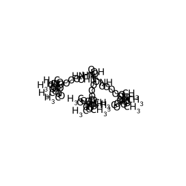 CC(=O)N[C@H]1[C@H](OCCOCCOCCOCC(=O)NCCCC[C@H](NC(=O)[C@H](CCCCNC(=O)COCCOCCOCCO[C@@H]2O[C@H](COC(C)=O)[C@H](OC(C)=O)[C@H](OC(C)=O)[C@H]2NC(C)=O)NC(=O)COCCOCCOCO[C@@H]2O[C@H](COC(C)=O)[C@H](OC(C)=O)[C@H](OC(C)=O)[C@H]2NC(C)=O)C(=O)O)O[C@H](COC(C)=O)[C@H](OC(C)=O)[C@@H]1OC(C)=O